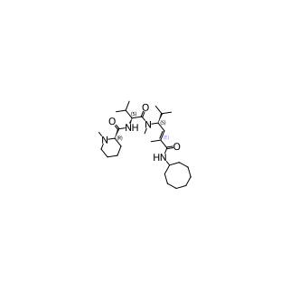 C/C(=C\[C@H](C(C)C)N(C)C(=O)[C@@H](NC(=O)[C@H]1CCCCN1C)C(C)C)C(=O)NC1CCCCCCC1